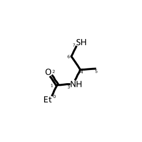 CCC(=O)NC(C)CS